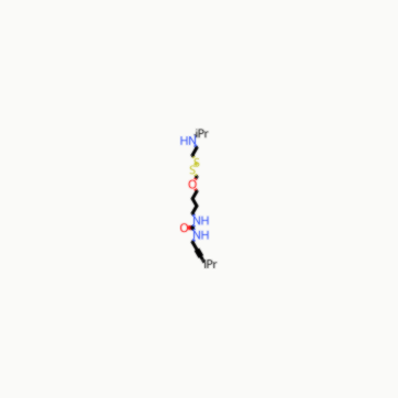 CC(C)C#CCNC(=O)NCCCCOCSSCCNC(C)C